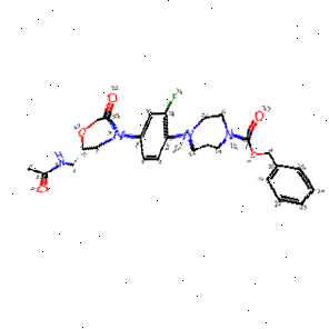 CC(=O)NC[C@H]1CN(c2ccc(N3CCN(C(=O)OCc4ccccc4)CC3)c(F)c2)C(=O)O1